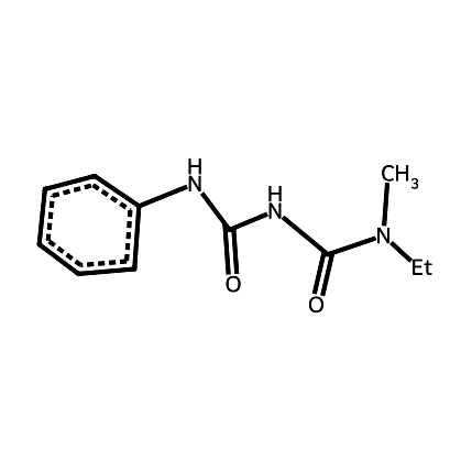 CCN(C)C(=O)NC(=O)Nc1ccccc1